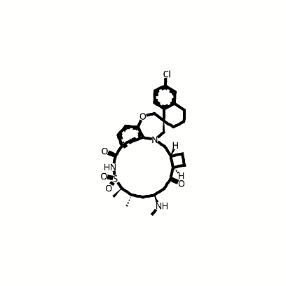 CN[C@@H]1CC(=O)[C@@H]2CC[C@H]2CN2C[C@@]3(CCCc4cc(Cl)ccc43)COc3ccc(cc32)C(=O)NS(=O)(=O)[C@H](C)[C@@H](C)C1